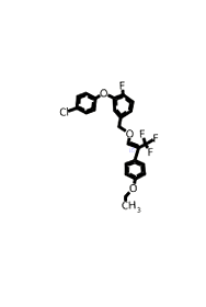 CCOc1ccc(/C(=C/OCc2ccc(F)c(Oc3ccc(Cl)cc3)c2)C(F)(F)F)cc1